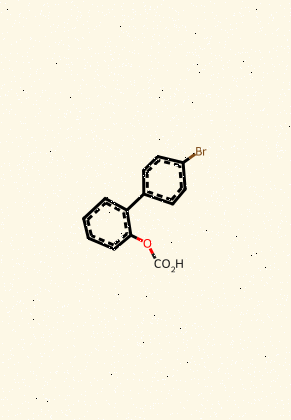 O=C(O)Oc1ccccc1-c1ccc(Br)cc1